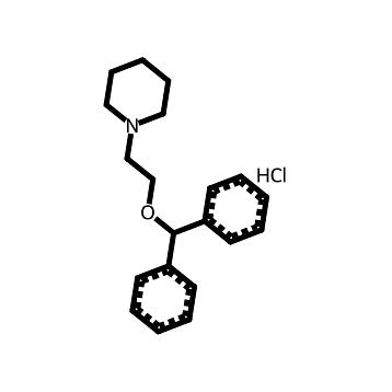 Cl.c1ccc(C(OCCN2CCCCC2)c2ccccc2)cc1